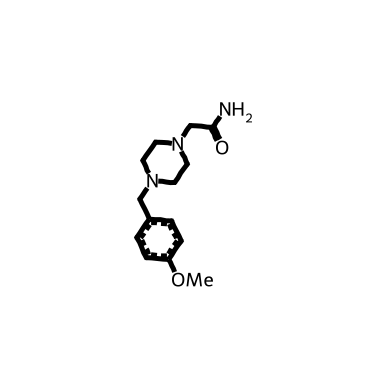 COc1ccc(CN2CCN(CC(N)=O)CC2)cc1